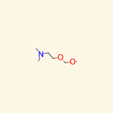 CN(C)CCOC[O]